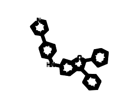 c1ccc(-c2oc3cc(Nc4ccc(-c5ccncc5)cc4)ccc3c2-c2ccccc2)cc1